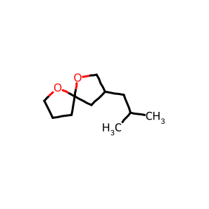 CC(C)CC1COC2(CCCO2)C1